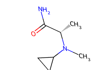 C[C@@H](C(N)=O)N(C)C1CC1